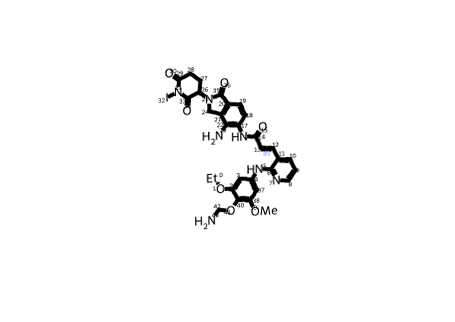 CCOc1cc(Nc2ncccc2/C=C/C(=O)Nc2ccc3c(c2N)CN(C2CCC(=O)N(I)C2=O)C3=O)cc(OC)c1OCN